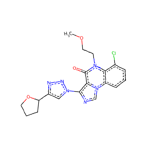 COCCn1c(=O)c2c(-n3cc(C4CCCO4)nn3)ncn2c2cccc(Cl)c21